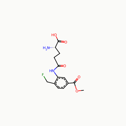 COC(=O)c1ccc(CF)c(NC(=O)CC[C@H](N)C(=O)O)c1